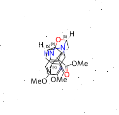 C/C=C1/CN2[C@@H]3C[C@@]45c6cc(OC)c(OC)cc6N[C@]4(O3)[C@@H]2C[C@@H]1C5C(=O)OC